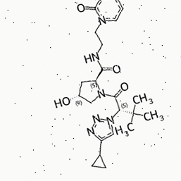 CC(C)(C)[C@@H](C(=O)N1C[C@H](O)C[C@H]1C(=O)NCCn1cccnc1=O)n1cc(C2CC2)nn1